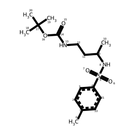 Cc1ccc(S(=O)(=O)NC(C)CCNC(=O)OC(C)(C)C)cc1